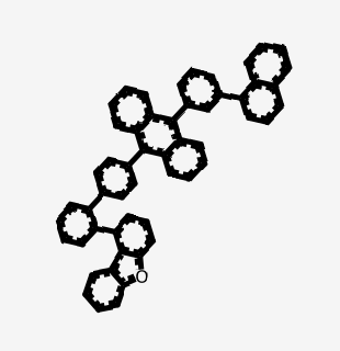 c1cc(-c2cccc3ccccc23)cc(-c2c3ccccc3c(-c3ccc(-c4ccccc4-c4cccc5oc6ccccc6c45)cc3)c3ccccc23)c1